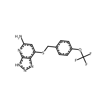 Nc1cc(SCc2ccc(OC(F)(F)F)cc2)c2nn[nH]c2n1